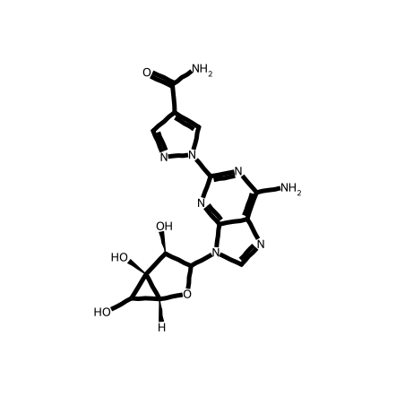 NC(=O)c1cnn(-c2nc(N)c3ncn(C4O[C@@H]5C(O)[C@]5(O)[C@H]4O)c3n2)c1